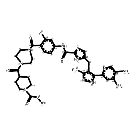 CC(C)(C)OC(=O)N1CCC(C(=O)N2CCN(C(=O)c3ccc(NC(=O)c4ncc(Cc5c(C(F)(F)F)n[nH]c5-c5cc(N)c(N)cn5)[nH]4)cc3Cl)CC2)CC1